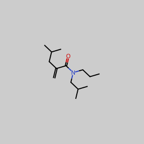 C=C(CC(C)C)C(=O)N(CCC)CC(C)C